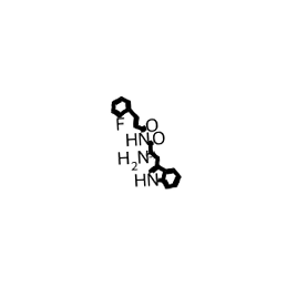 N[C@@H](Cc1c[nH]c2ccccc12)C(=O)NC(=O)C=Cc1ccccc1F